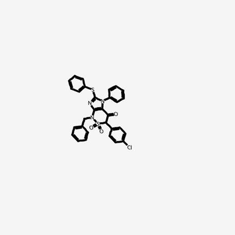 O=C1c2c(nc(Sc3ccccc3)n2-c2ccccc2)N(Cc2ccccc2)S(=O)(=O)C1c1ccc(Cl)cc1